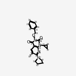 O=c1c2cc(F)c(N3CCCC3)nc2n(C2CC2)c(=O)n1OCc1ccccc1